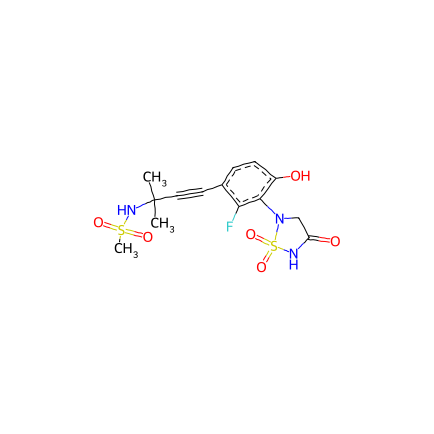 CC(C)(C#Cc1ccc(O)c(N2CC(=O)NS2(=O)=O)c1F)NS(C)(=O)=O